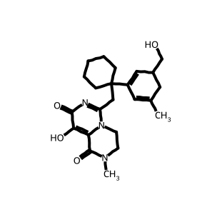 CC1=CC(C2(Cc3nc(=O)c(O)c4n3CCN(C)C4=O)CCCCC2)=CC(CO)C1